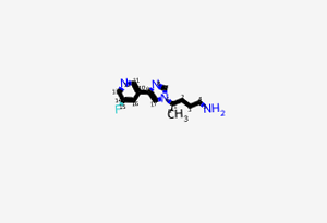 C[C@@H](CCCN)n1cnc(-c2cncc(F)c2)c1